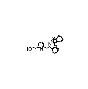 NC(Cc1cccc(CCO)n1)c1ccccc1-c1noc2ccccc12